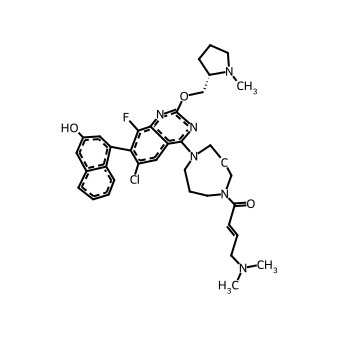 CN(C)C/C=C/C(=O)N1CCCN(c2nc(OC[C@@H]3CCCN3C)nc3c(F)c(-c4cc(O)cc5ccccc45)c(Cl)cc23)CCC1